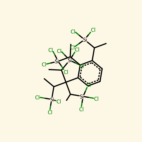 CC(c1cccc(C(C(C)[Si](Cl)(Cl)Cl)(C(C)[Si](Cl)(Cl)Cl)C(C)[Si](Cl)(Cl)Cl)c1C(C)[Si](Cl)(Cl)Cl)[Si](Cl)(Cl)Cl